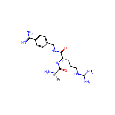 CC(C)[C@H](N)C(=O)N[C@@H](CCCNC(N)N)C(=O)NCc1ccc(C(=N)N)cc1